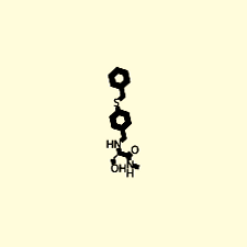 CNC(=O)[C@H](CO)NCc1ccc(SCc2ccccc2)cc1